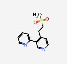 [CH2]S(=O)(=O)CCc1ccncc1-c1ccccn1